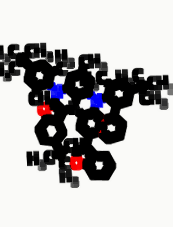 Cc1cc2c3c(c1)N(c1c(C)cc(C(C)(C)C)cc1C)c1oc4c(c1B3c1cc(-c3coc5ccccc35)ccc1N2c1c(C)cc(C(C)(C)C)cc1-c1ccccc1)CC(C(C)(C)C)C=C4